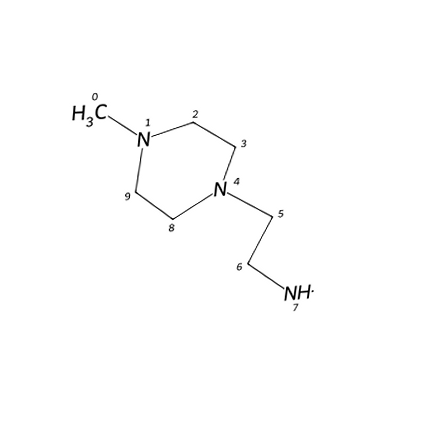 CN1CCN(CC[NH])CC1